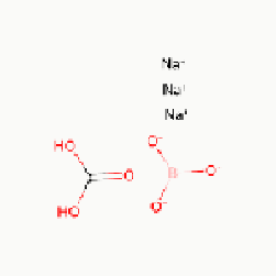 O=C(O)O.[Na+].[Na+].[Na+].[O-]B([O-])[O-]